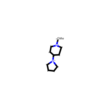 CON1CCC(N2CCCC2)CC1